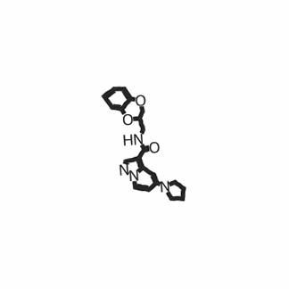 O=C(NCC1COc2ccccc2O1)c1cnn2ccc(N3CCCC3)cc12